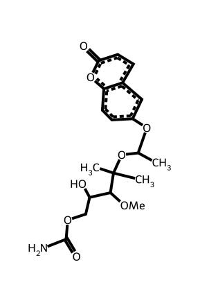 COC(C(O)COC(N)=O)C(C)(C)OC(C)Oc1ccc2oc(=O)ccc2c1